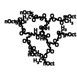 CCCCCCCCSC(C)C(=O)OCCOC(=O)CCN(CCNC(=O)c1cc(C(=O)NCCN(CCC(=O)OCCOC(=O)C(C)SCCCCCCCC)CCC(=O)OCCOC(=O)C(C)SCCCCCCCC)cc(C(=O)NCCN(CCC(=O)OCCOC(=O)C(C)SCCCCCCCC)CCC(=O)OCCOC(=O)C(C)SCCCCCCCC)c1)CCC(=O)OCCOC(=O)C(C)SCCCCCCCC